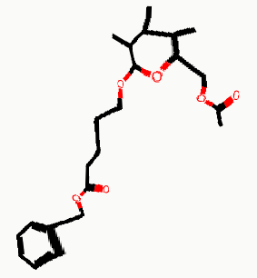 CC(=O)OCC1OC(OCCCCC(=O)OCc2ccccc2)C(C)C(C)C1C